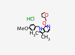 COc1ccc(Cn2c(C)c(C)c3ccnc(OCC4CCCO4)c32)cc1.Cl